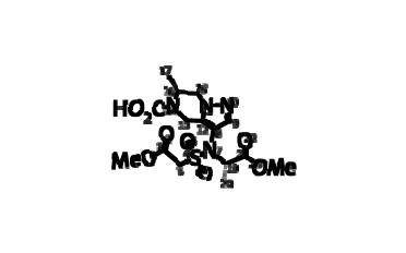 COC(=O)CS(=O)(=O)N(c1cnn2c1CN(C(=O)O)[C@@H](C)C2)[C@@H](C)C(=O)OC